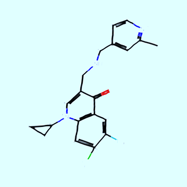 Cc1cc(CNCc2cn(C3CC3)c3cc(Cl)c(F)cc3c2=O)ccn1